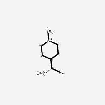 CC(C)(C)N1CCC([C@H](F)C=O)CC1